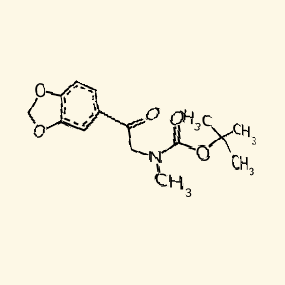 CN(CC(=O)c1ccc2c(c1)OCO2)C(=O)OC(C)(C)C